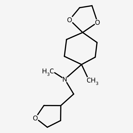 CN(CC1CCOC1)C1(C)CCC2(CC1)OCCO2